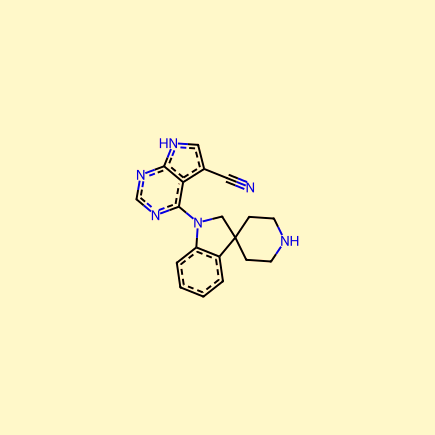 N#Cc1c[nH]c2ncnc(N3CC4(CCNCC4)c4ccccc43)c12